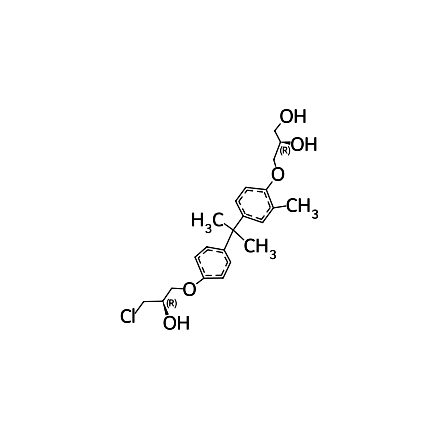 Cc1cc(C(C)(C)c2ccc(OC[C@@H](O)CCl)cc2)ccc1OC[C@H](O)CO